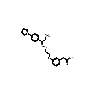 CC/C(=N\OCCOc1cccc(CC(=O)O)c1)c1ccc(-n2cccc2)cc1